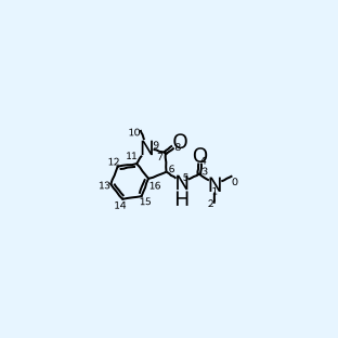 CN(C)C(=O)NC1C(=O)N(C)c2ccccc21